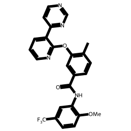 COc1ccc(C(F)(F)F)cc1NC(=O)c1ccc(C)c(Oc2ncccc2-c2ccncn2)c1